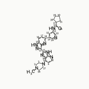 CN1CCN(c2ccnc3[nH]c(-c4n[nH]c5ccc(-c6cncc(NC(=O)C7CCCC7)c6)nc45)nc23)CC1